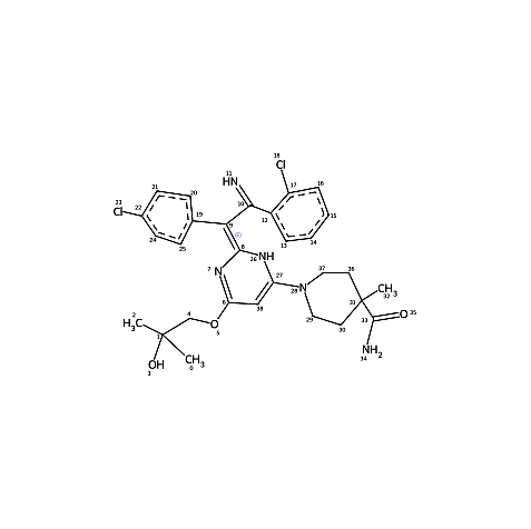 CC(C)(O)COC1=N/C(=C(/C(=N)c2ccccc2Cl)c2ccc(Cl)cc2)NC(N2CCC(C)(C(N)=O)CC2)=C1